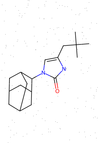 CC(C)(C)CC1=CN(C2C3CC4CC(C3)CC2C4)C(=O)[N]1